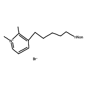 CCCCCCCCCCCCCCc1ccc[n+](C)c1C.[Br-]